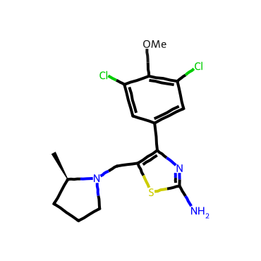 COc1c(Cl)cc(-c2nc(N)sc2CN2CCC[C@H]2C)cc1Cl